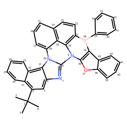 CC(C)(C)c1cc2nc3n4c5c(ccc6cccc(c65)n3c2c2ccccc12)B(c1ccccc1)c1c-4oc2ccccc12